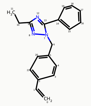 C=Cc1ccc(Cn2nc(CC)nc2-c2ccccc2)cc1